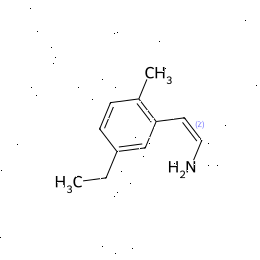 CCc1ccc(C)c(/C=C\N)c1